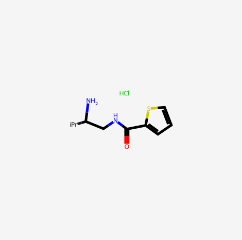 CC(C)C(N)CNC(=O)c1cccs1.Cl